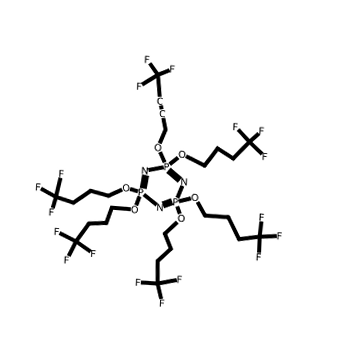 FC(F)(F)CCCOP1(OCCCC(F)(F)F)=NP(OCCCC(F)(F)F)(OCCCC(F)(F)F)=NP(OCCCC(F)(F)F)(OCCCC(F)(F)F)=N1